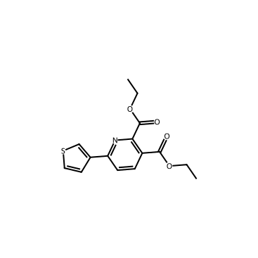 CCOC(=O)c1ccc(-c2ccsc2)nc1C(=O)OCC